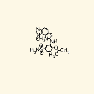 CC(C)Oc1ccc(S(N)(=O)=O)cc1Nc1nc2c(ccc3ncn(C)c32)s1